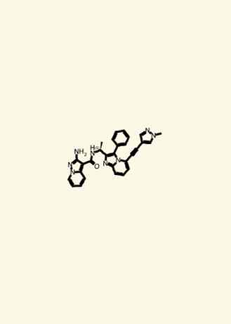 C[C@H](NC(=O)c1c(N)nn2ccccc12)c1nc2cccc(C#Cc3cnn(C)c3)n2c1-c1ccccc1